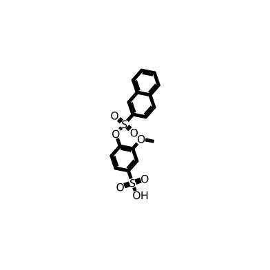 COc1cc(S(=O)(=O)O)ccc1OS(=O)(=O)c1ccc2ccccc2c1